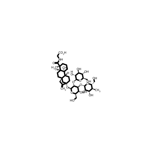 C=C1C[C@@]23CC[C@H]4[C@@](C)(CCC[C@@]4(C)C(=O)NCC(=O)O)[C@@H]2CC[C@]1(O[C@@H]1O[C@H](CO)[C@@H](O)[C@H](O[C@@H]2O[C@H](CO)[C@@H](C)[C@H](O)[C@H]2O)[C@H]1O[C@@H]1O[C@H](CO)[C@@H](O)[C@H](O)[C@H]1O)C3